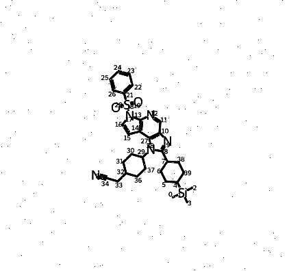 C[Si](C)(C)C1CCC(c2nc3cnc4c(ccn4S(=O)(=O)c4ccccc4)c3n2C2CCC(CC#N)CC2)CC1